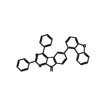 c1ccc(-c2nc(-c3ccccc3)c3c(n2)[nH]c2ccc(-c4cccc5oc6ccccc6c45)cc23)cc1